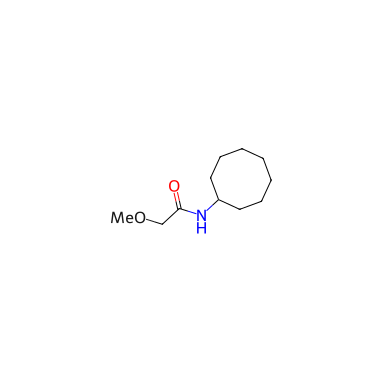 [CH2]OCC(=O)NC1CCCCCCC1